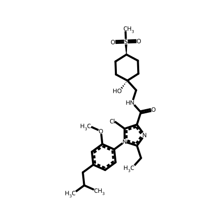 CCc1nc(C(=O)NC[C@]2(O)CC[C@H](S(C)(=O)=O)CC2)c(Cl)n1-c1ccc(CC(C)C)cc1OC